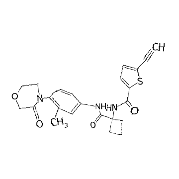 C#Cc1ccc(C(=O)NC2(C(=O)Nc3ccc(N4CCOCC4=O)c(C)c3)CCC2)s1